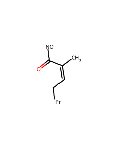 CC(=CCC(C)C)C(=O)N=O